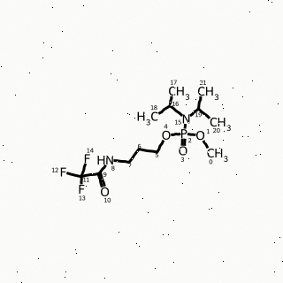 COP(=O)(OCCCNC(=O)C(F)(F)F)N(C(C)C)C(C)C